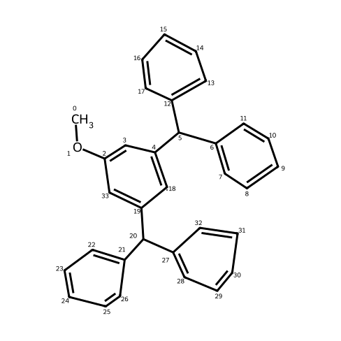 COc1cc(C(c2ccccc2)c2ccccc2)[c]c(C(c2ccccc2)c2ccccc2)c1